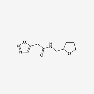 O=C(Cc1cnno1)NCC1CCCO1